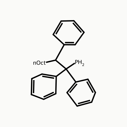 CCCCCCCCC(c1ccccc1)C(P)(c1ccccc1)c1ccccc1